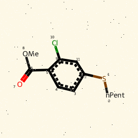 CCCCCSc1ccc(C(=O)OC)c(Cl)c1